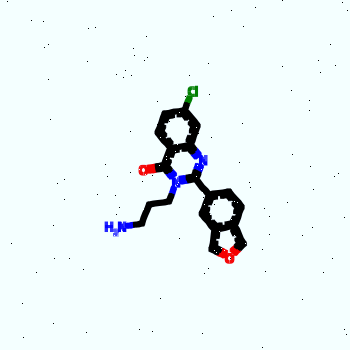 NCCCn1c(-c2ccc3cocc3c2)nc2cc(Cl)ccc2c1=O